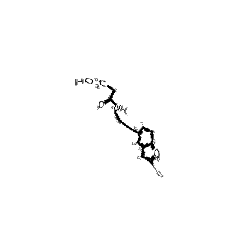 O=C(O)CC(=O)NCc1ccc2occc2c1